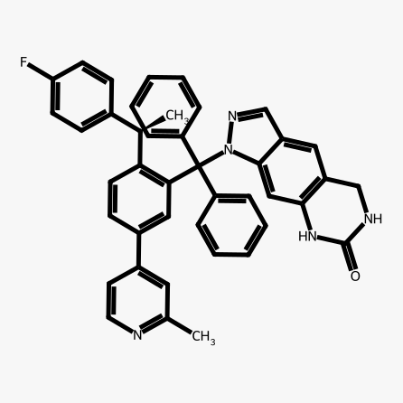 Cc1cc(-c2ccc([C@H](C)c3ccc(F)cc3)c(C(c3ccccc3)(c3ccccc3)n3ncc4cc5c(cc43)NC(=O)NC5)c2)ccn1